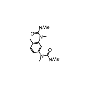 CNC(=O)N(C)c1ccc(C)c(N(C)C(=O)NC)c1